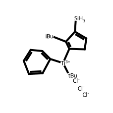 CCC(C)C1=[C]([Ti+3]([c]2ccccc2)[C](C)(C)C)CC=C1[SiH3].[Cl-].[Cl-].[Cl-]